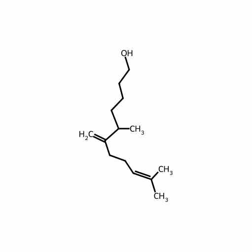 C=C(CCC=C(C)C)C(C)CCCCO